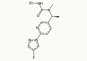 CCNC(=O)N(C)[C@@H](C)c1ccc(-n2cc(F)cn2)nc1